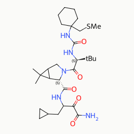 CSCC1(NC(=O)N[C@H](C(=O)N2CC3C([C@H]2C(=O)NC(CC2CC2)C(=O)C(N)=O)C3(C)C)C(C)(C)C)CCCCC1